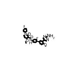 CCOc1ccn(-c2ccc(F)cc2)c(=O)c1C(=O)Nc1ccc(-c2ccc(OC)c(-c3cnc(N)nc3)c2)c(F)c1